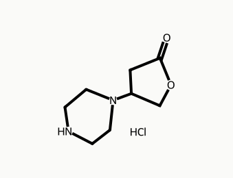 Cl.O=C1CC(N2CCNCC2)CO1